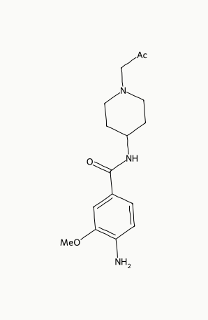 COc1cc(C(=O)NC2CCN(CC(C)=O)CC2)ccc1N